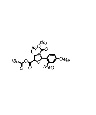 COc1ccc(C2OC(C(=O)OC(=O)C(C)(C)C)[C@H](CC(C)C)N2C(=O)OC(C)(C)C)c(OC)c1